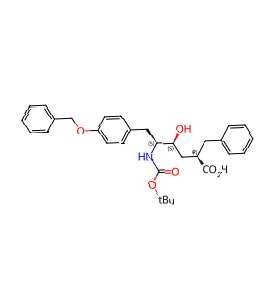 CC(C)(C)OC(=O)N[C@@H](Cc1ccc(OCc2ccccc2)cc1)[C@@H](O)C[C@@H](Cc1ccccc1)C(=O)O